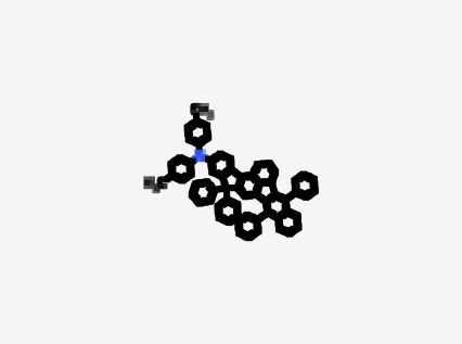 Cc1ccc(N(c2ccc(C)cc2)c2ccc3c(c2)C(c2ccccc2)(c2ccccc2)c2cc4c5c(cccc5c2-3)-c2c-4c(-c3ccccc3)c3ccccc3c2-c2ccccc2)cc1